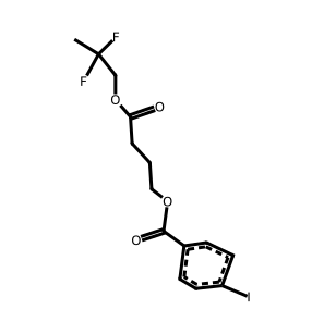 CC(F)(F)COC(=O)CCCOC(=O)c1ccc(I)cc1